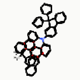 CC1(C)c2ccccc2-c2c(-c3c(-c4ccc5ccccc5c4)cccc3N(c3ccc4c(c3)C(c3ccccc3)(c3ccccc3)c3ccccc3-4)c3cccc(-c4ccccc4)c3-c3ccccc3)cccc21